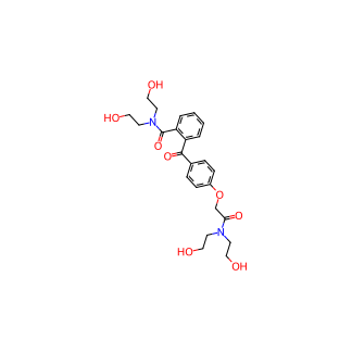 O=C(c1ccc(OCC(=O)N(CCO)CCO)cc1)c1ccccc1C(=O)N(CCO)CCO